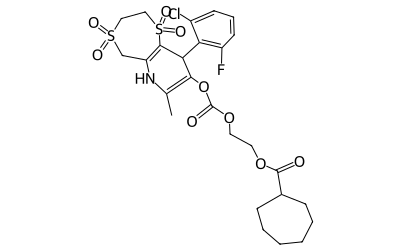 CC1=C(OC(=O)OCCOC(=O)C2CCCCCC2)C(c2c(F)cccc2Cl)C2=C(CS(=O)(=O)CCS2(=O)=O)N1